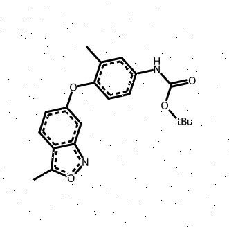 Cc1cc(NC(=O)OC(C)(C)C)ccc1Oc1ccc2c(C)onc2c1